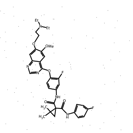 CCN(CC)CCOc1cc2ncnc(Oc3ccc(NC(=O)C4(C(=O)Nc5ccc(F)cc5)CC4(C)C)cc3F)c2cc1OC